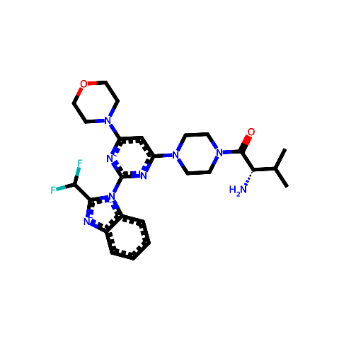 CC(C)[C@H](N)C(=O)N1CCN(c2cc(N3CCOCC3)nc(-n3c(C(F)F)nc4ccccc43)n2)CC1